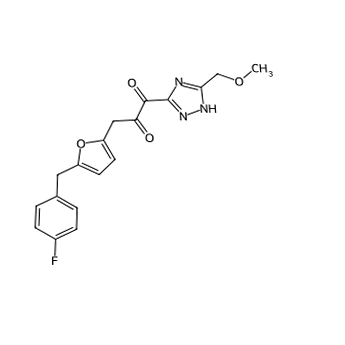 COCc1nc(C(=O)C(=O)Cc2ccc(Cc3ccc(F)cc3)o2)n[nH]1